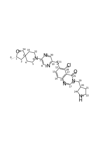 C[C@H]1CC2(CCN(c3cnc(Sc4ccc5ncn(CC6CCNC6)c(=O)c5c4Cl)cn3)CC2)CO1